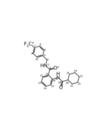 O=C(NCc1ccc(C(F)(F)F)cc1)c1ccccc1NC(=O)C1CCCCC1